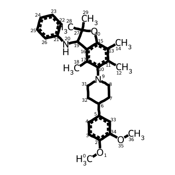 COc1ccc(C2CCN(c3c(C)c(C)c4c(c3C)C(Nc3ccccc3)C(C)(C)O4)CC2)cc1OC